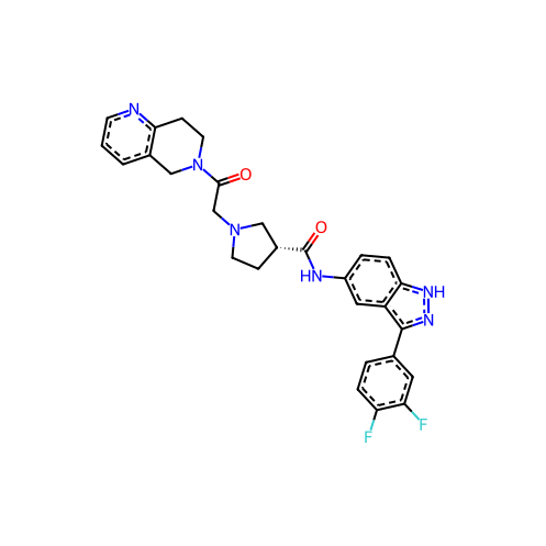 O=C(Nc1ccc2[nH]nc(-c3ccc(F)c(F)c3)c2c1)[C@@H]1CCN(CC(=O)N2CCc3ncccc3C2)C1